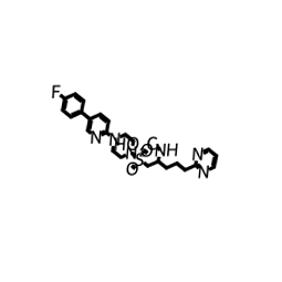 O=C(O)NC(CCCc1ncccn1)CS(=O)(=O)N1CCN(c2ccc(-c3ccc(F)cc3)cn2)CC1